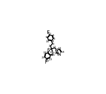 CC(CCc1ccc(F)cc1)(Cn1ccnc1)Sc1ccc(F)cc1F